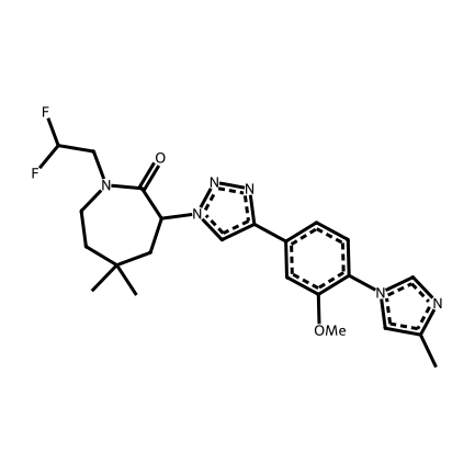 COc1cc(-c2cn(C3CC(C)(C)CCN(CC(F)F)C3=O)nn2)ccc1-n1cnc(C)c1